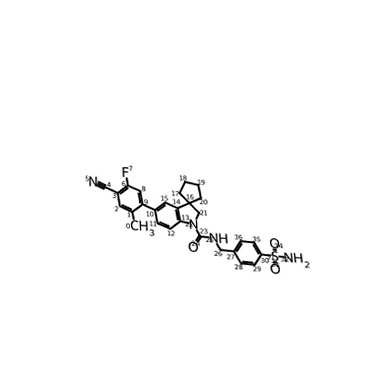 Cc1cc(C#N)c(F)cc1-c1ccc2c(c1)C1(CCCC1)CN2C(=O)NCc1ccc(S(N)(=O)=O)cc1